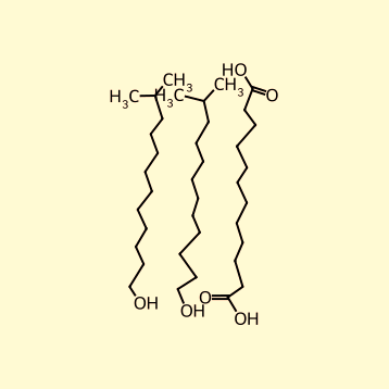 CC(C)CCCCCCCCCCO.CC(C)CCCCCCCCCCO.O=C(O)CCCCCCCCCCC(=O)O